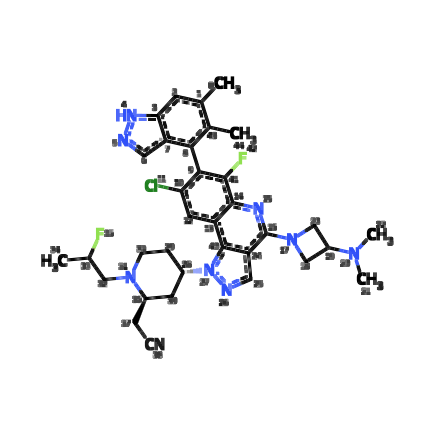 Cc1cc2[nH]ncc2c(-c2c(Cl)cc3c(nc(N4CC(N(C)C)C4)c4cnn([C@H]5CCN(CC(C)F)[C@H](CC#N)C5)c43)c2F)c1C